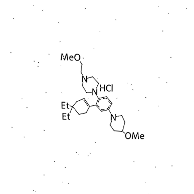 CCC1(CC)CC=C(c2cc(N3CCC(OC)CC3)ccc2N2CCN(CCOC)CC2)CC1.Cl